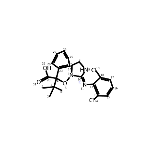 CC(C)(C)C(ON1CCN/C1=N\c1c(Cl)cccc1Cl)(C(=O)O)c1ccccc1